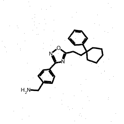 NCc1ccc(-c2noc(CCC3(c4ccccc4)CCCCC3)n2)cc1